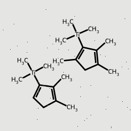 CC1=C(C)[C]([Ti]([CH3])([CH3])[CH3])=C(C)C1.CC1=C(C)[C]([Ti]([CH3])([CH3])[CH3])=CC1